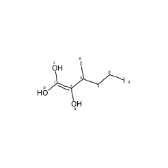 OC(O)=C(O)C(I)CCI